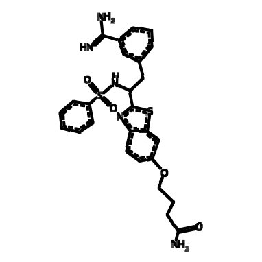 N=C(N)c1cccc(CC(NS(=O)(=O)c2ccccc2)c2nc3ccc(OCCCC(N)=O)cc3s2)c1